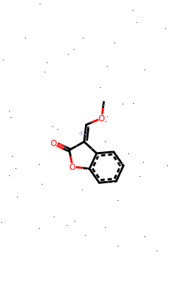 CO/C=C1/C(=O)Oc2ccccc21